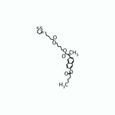 CCCCC(=O)Oc1ccc2cc([C@H](C)C(=O)OCCCCOC(=O)CCCC[C@@H]3CCSS3)ccc2c1